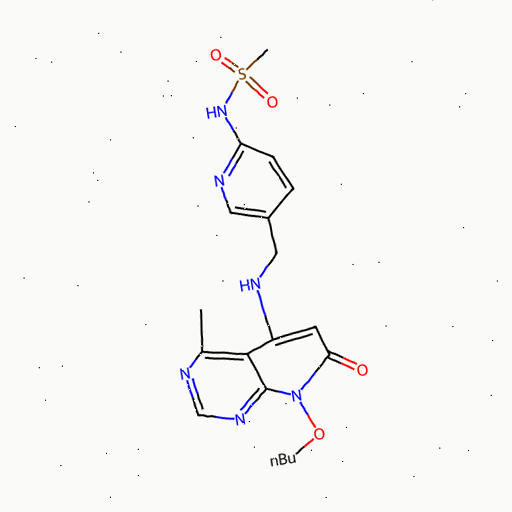 CCCCOn1c(=O)cc(NCc2ccc(NS(C)(=O)=O)nc2)c2c(C)ncnc21